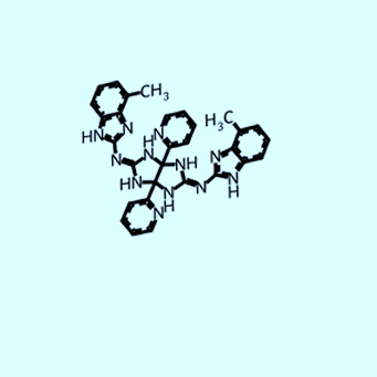 Cc1cccc2[nH]c(N=C3NC4(c5ccccn5)NC(=Nc5nc6c(C)cccc6[nH]5)NC4(c4ccccn4)N3)nc12